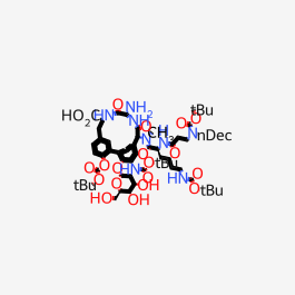 CCCCCCCCCCN(CCC(=O)N[C@@H](CCCCNC(=O)OC(C)(C)C)C(=O)N(C)[C@@H]1C(=O)N[C@@H](N)C(=O)N[C@H](C(=O)O)Cc2ccc(OC(=O)OC(C)(C)C)c(c2)-c2cc1ccc2OC1O[C@H](CO)[C@@H](O)[C@H](O)[C@H]1NC(=O)OC(C)(C)C)C(=O)OC(C)(C)C